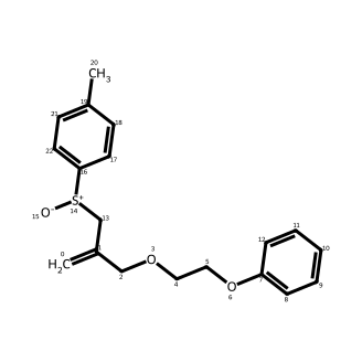 C=C(COCCOc1ccccc1)C[S+]([O-])c1ccc(C)cc1